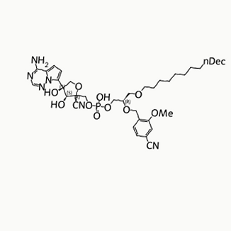 CCCCCCCCCCCCCCCCCCOC[C@H](COP(=O)(O)OC[C@@]1(C#N)OC[C@@](O)(c2ccc3c(N)ncnn23)[C@@H]1O)OCc1ccc(C#N)cc1OC